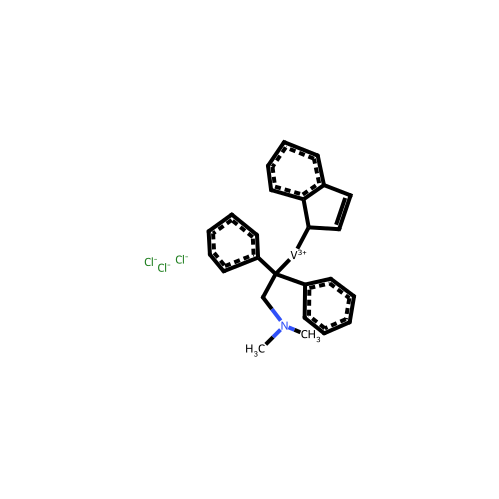 CN(C)C[C]([V+3][CH]1C=Cc2ccccc21)(c1ccccc1)c1ccccc1.[Cl-].[Cl-].[Cl-]